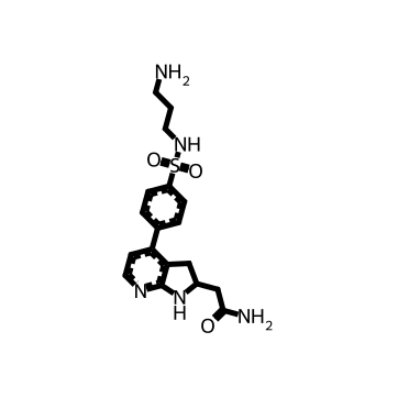 NCCCNS(=O)(=O)c1ccc(-c2ccnc3c2CC(CC(N)=O)N3)cc1